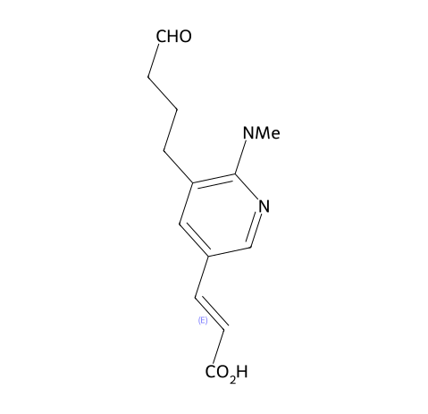 CNc1ncc(/C=C/C(=O)O)cc1CCCC=O